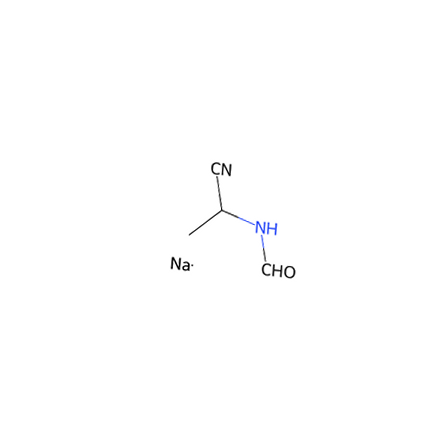 CC(C#N)NC=O.[Na]